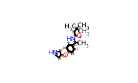 C[C@H](NC(=O)CC(C)(C)C)c1ccc(OC2CCNC2)cc1